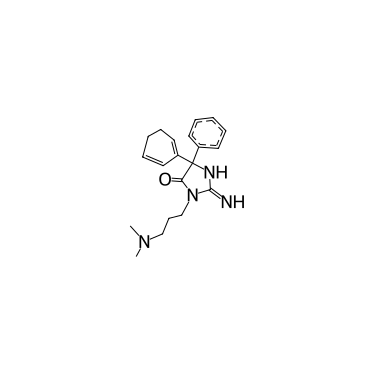 CN(C)CCCN1C(=N)NC(C2=CCCC=C2)(c2ccccc2)C1=O